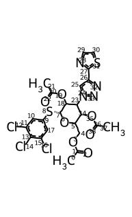 CC(=O)OCC1O[C@H](Sc2cc(Cl)c(Cl)c(Cl)c2)C(OC(C)=O)C(n2cc(-c3nccs3)nn2)[C@H]1OC(C)=O